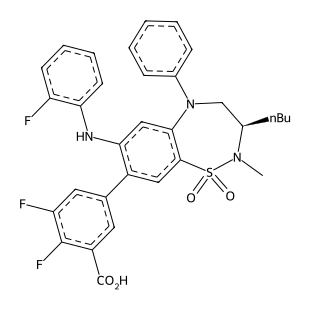 CCCC[C@@H]1CN(c2ccccc2)c2cc(Nc3ccccc3F)c(-c3cc(F)c(F)c(C(=O)O)c3)cc2S(=O)(=O)N1C